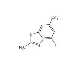 Cc1cc(F)c2nc(C)sc2c1